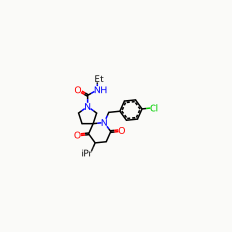 CCNC(=O)N1CCC2(C1)C(=O)C(C(C)C)CC(=O)N2Cc1ccc(Cl)cc1